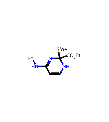 CCNC1=NC(SC)(C(=O)OCC)NC=C1